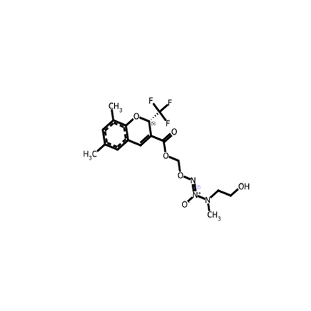 Cc1cc(C)c2c(c1)C=C(C(=O)OCO/N=[N+](\[O-])N(C)CCO)[C@@H](C(F)(F)F)O2